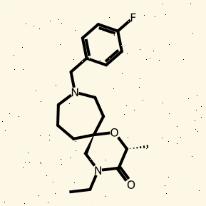 CCN1C[C@]2(CCCN(Cc3ccc(F)cc3)CC2)O[C@H](C)C1=O